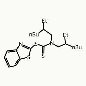 CCCCC(CC)CN(CC(CC)CCCC)C(=S)Sc1nc2ccccc2s1